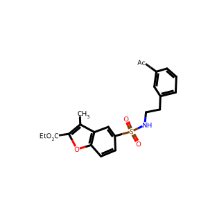 CCOC(=O)c1oc2ccc(S(=O)(=O)NCCc3cccc(C(C)=O)c3)cc2c1C